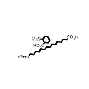 CCCCCC=CCC=CCC=CCC=CCCCC(=O)O.CSc1ccccc1C(=O)O